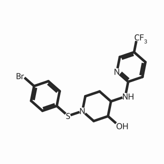 OC1CN(Sc2ccc(Br)cc2)CCC1Nc1ccc(C(F)(F)F)cn1